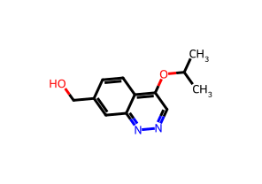 CC(C)Oc1cnnc2cc(CO)ccc12